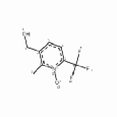 Cc1c(CO)ccc(C(F)(F)F)[n+]1[O-]